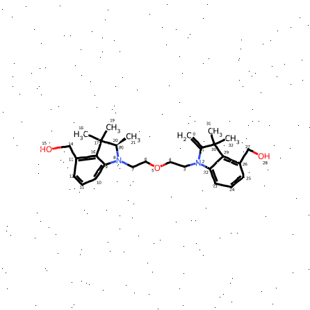 C=C1N(CCOCCN2c3cccc(CO)c3C(C)(C)[C@H]2C)c2cccc(CO)c2C1(C)C